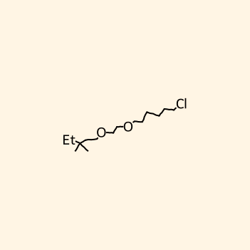 CCC(C)(C)CCOCCOCCCCCCCl